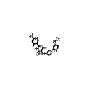 CCOc1ccnc(N2CCC(Nc3c(C)nc(-c4cnc(N(C)C)cc4C)n(C)c3=O)C2)c1